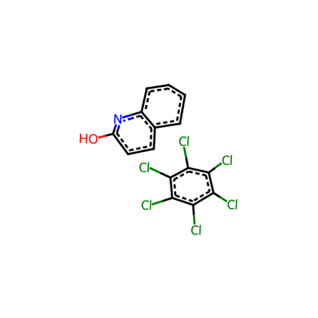 Clc1c(Cl)c(Cl)c(Cl)c(Cl)c1Cl.Oc1ccc2ccccc2n1